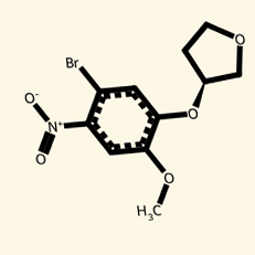 COc1cc([N+](=O)[O-])c(Br)cc1O[C@H]1CCOC1